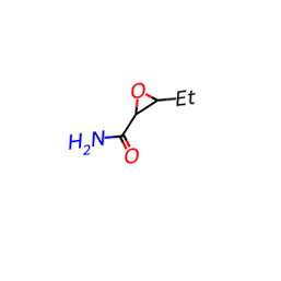 CCC1OC1C(N)=O